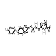 Cc1ccc(-c2ccc3sc(CC(=O)NCC(=O)NC4(C#N)CC4)nc3c2)cc1